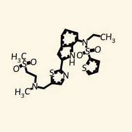 CCN(c1cccc2cc(-c3ncc(CN(C)CCS(C)(=O)=O)s3)[nH]c12)S(=O)(=O)c1cccs1